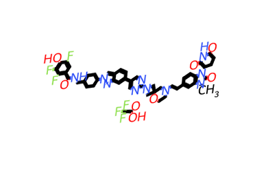 Cn1c(=O)n([C@@H]2CCC(=O)NC2=O)c2ccc(CCN3CCOC4(C3)CN(c3ncc(-c5ccc6cn(C7CCC(CNC(=O)c8cc(F)c(O)c(F)c8F)CC7)nc6c5)cn3)C4)cc21.O=C(O)C(F)(F)F